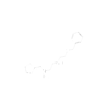 CC(C)(C)N(CCNCCSCc1ccccc1)CC1CCCC1